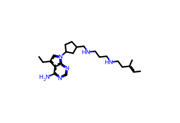 C/C=C(\C)CCNCCCNCC1CCC(n2cc(CC)c3c(N)ncnc32)C1